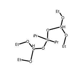 CCO[SiH](OCC)O[Si](O[SiH](OCC)OCC)(C(C)C)C(C)C